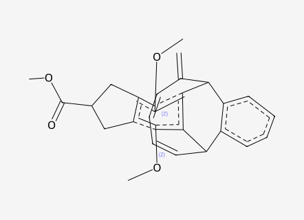 C=C1/C=C\C=C/C2c3ccccc3C1c1c(OC)c3c(c(OC)c12)CC(C(=O)OC)C3